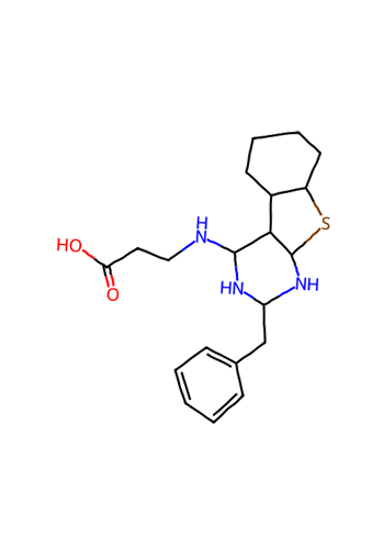 O=C(O)CCNC1NC(Cc2ccccc2)NC2SC3CCCCC3C12